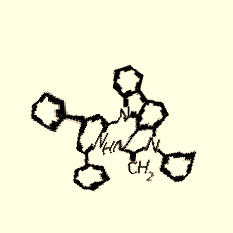 C=C1Nc2c(ccc3c4ccccc4n(-c4cc(-c5ccccc5)cc(-c5ccccc5)n4)c23)N1c1ccccc1